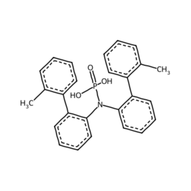 Cc1ccccc1-c1ccccc1N(c1ccccc1-c1ccccc1C)P(=O)(O)O